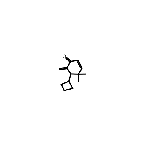 C=C1C(=O)C=CC(C)(C)C1C1CCC1